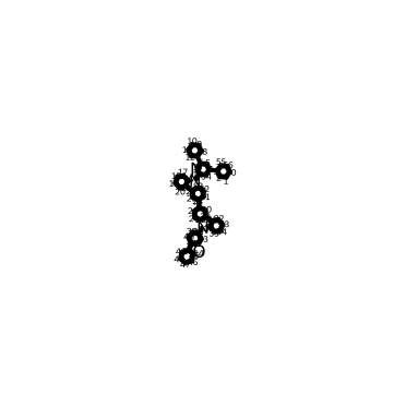 c1ccc(-c2cc(-c3ccccc3)nc(-n3c4ccccc4c4cc(-c5ccc6c(c5)c5ccccc5n6-c5ccc6c(c5)oc5ccccc56)ccc43)c2)cc1